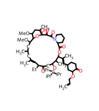 C=CCOC1CC(C=C(C)C2OC(=O)C3CCCCN3C(=O)C(=O)C3(O)OC(C(OC)CC(C)C/C(C)=C/C(CC)C(=O)CC(O[Si](C(C)C)(C(C)C)C(C)C)C2C)C(OC)CC3C)CCC1=O